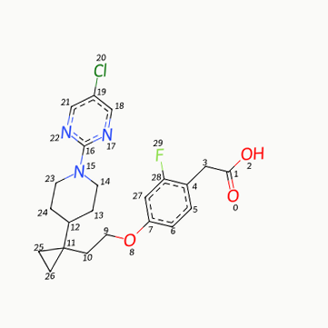 O=C(O)Cc1ccc(OCCC2(C3CCN(c4ncc(Cl)cn4)CC3)CC2)cc1F